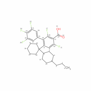 CCCC1CCC(C2(c3cc(F)c(C(=O)O)c(F)c3-c3cc(F)c(F)c(F)c3)CCCCC2)CC1